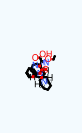 CCO/N=C(\C(=O)O)c1nc2ccccc2n([C@H]2C[C@H]3CCC[C@@H](C2)N3C2C[C@H]3CCCC[C@@H](C2)C3)c1=O